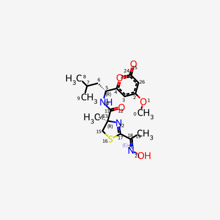 COc1cc([C@@H](CC(C)C)NC(=O)[C@]2(C)CSC(/C(C)=N/O)=N2)oc(=O)c1